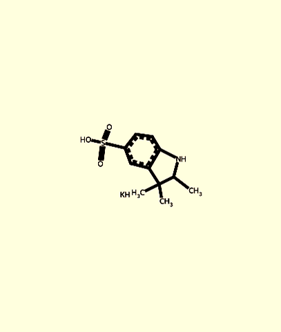 CC1Nc2ccc(S(=O)(=O)O)cc2C1(C)C.[KH]